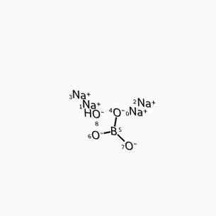 [Na+].[Na+].[Na+].[Na+].[O-]B([O-])[O-].[OH-]